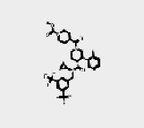 COC(=O)N1CCC(C(=O)N2CC[C@@H](C(=O)N(Cc3cc(C(F)(F)F)cc(C(F)(F)F)c3)C3CC3)[C@H](c3ccccc3C)C2)CC1